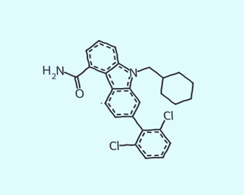 NC(=O)c1cccc2c1c1[c]cc(-c3c(Cl)cccc3Cl)cc1n2CC1CCCCC1